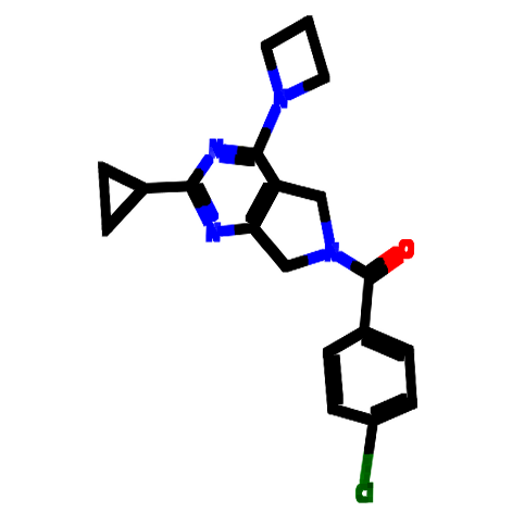 O=C(c1ccc(Cl)cc1)N1Cc2nc(C3CC3)nc(N3CCC3)c2C1